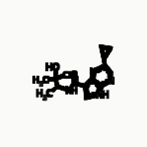 C[C@H](NC(=O)c1c[nH]c2ncc(C3CC3)nc12)C(C)(C)O